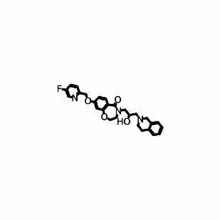 O=C1c2ccc(OCc3ccc(F)cn3)cc2OCCN1CC(O)CN1CCc2ccccc2C1